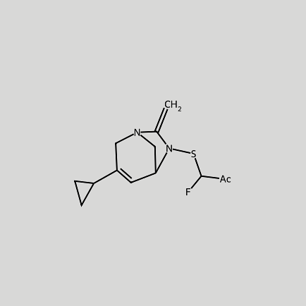 C=C1N2CC(C3CC3)=CC(C2)N1SC(F)C(C)=O